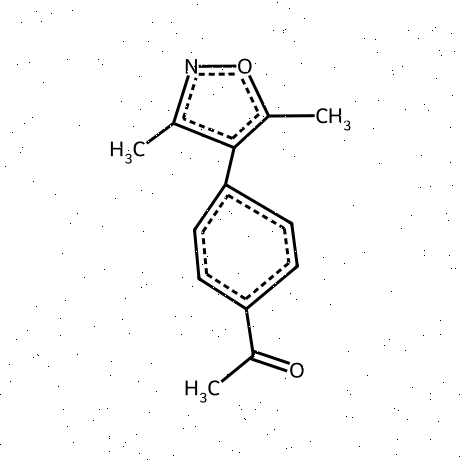 CC(=O)c1ccc(-c2c(C)noc2C)cc1